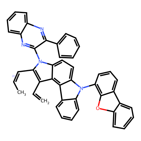 C=Cc1c(/C=C\C)n(-c2nc3ccccc3nc2-c2ccccc2)c2ccc3c(c4ccccc4n3-c3cccc4c3oc3ccccc34)c12